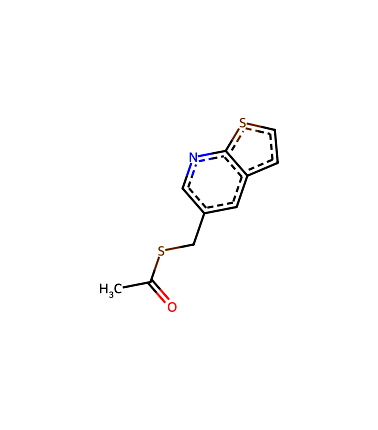 CC(=O)SCc1cnc2sccc2c1